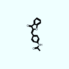 CC(=O)Nc1ccc(/C=C2\Oc3ccccc3C2=O)cc1